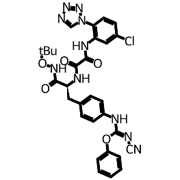 CC(C)(C)ONC(=O)[C@H](Cc1ccc(N/C(=N/C#N)Oc2ccccc2)cc1)NC(=O)C(=O)Nc1cc(Cl)ccc1-n1cnnn1